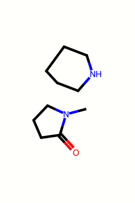 C1CCNCC1.CN1CCCC1=O